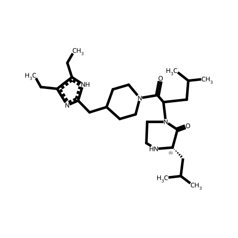 CCc1nc(CC2CCN(C(=O)C(CC(C)C)N3CCN[C@@H](CC(C)C)C3=O)CC2)[nH]c1CC